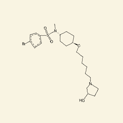 CN([C@H]1CC[C@H](OCCCCCCN2CCC(O)C2)CC1)S(=O)(=O)c1ccc(Br)cc1